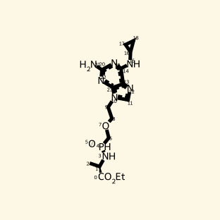 CCOC(=O)[C@@H](C)N[PH](=O)COCCn1cnc2c(NC3CC3)nc(N)nc21